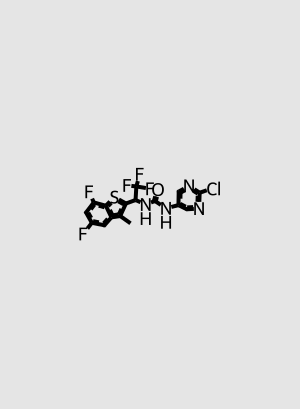 Cc1c(C(NC(=O)Nc2cnc(Cl)nc2)C(F)(F)F)sc2c(F)cc(F)cc12